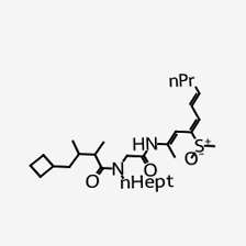 CCC/C=C/C=C(\C=C(/C)NC(=O)CN(CCCCCCC)C(=O)C(C)C(C)CC1CCC1)[S+](C)[O-]